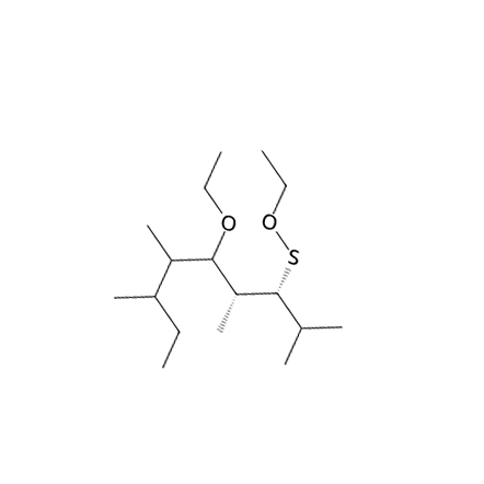 CCOS[C@H](C(C)C)[C@H](C)C(OCC)C(C)C(C)CC